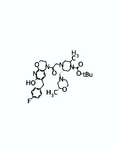 C[C@@H]1CN(C[C@H]2CN(C(=O)OC(C)(C)C)[C@H](C)CN2CC(=O)N2CCOc3nc(O)c(Cc4ccc(F)cc4)cc32)CCO1